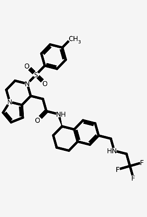 Cc1ccc(S(=O)(=O)N2CCn3cccc3C2CC(=O)N[C@@H]2CCCc3cc(CNCC(F)(F)F)ccc32)cc1